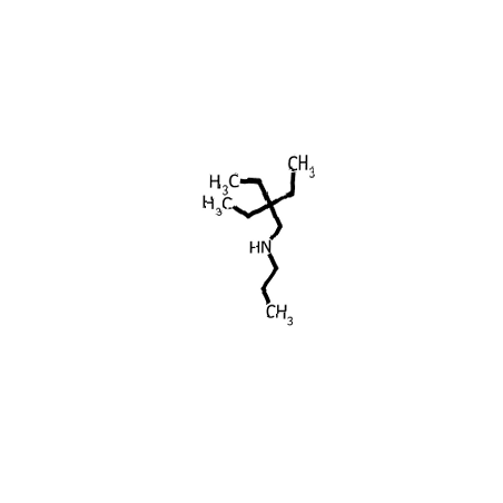 CCCNCC(CC)(CC)CC